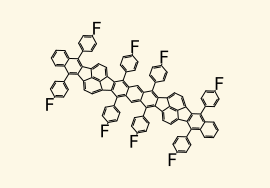 Fc1ccc(-c2c3c(c(-c4ccc(F)cc4)c4ccccc24)-c2ccc4c5c(ccc-3c25)-c2c-4c(-c3ccc(F)cc3)c3cc4c(-c5ccc(F)cc5)c5c(c(-c6ccc(F)cc6)c4cc3c2-c2ccc(F)cc2)-c2ccc3c4c(ccc-5c24)-c2c-3c(-c3ccc(F)cc3)c3ccccc3c2-c2ccc(F)cc2)cc1